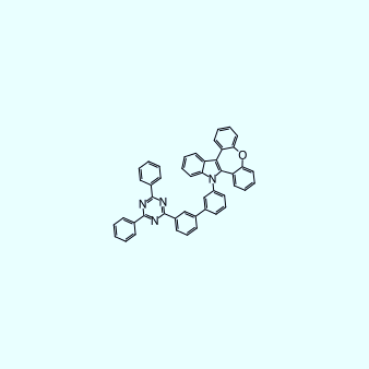 c1ccc(-c2nc(-c3ccccc3)nc(-c3cccc(-c4cccc(-n5c6c(c7ccccc75)-c5ccccc5Oc5ccccc5-6)c4)c3)n2)cc1